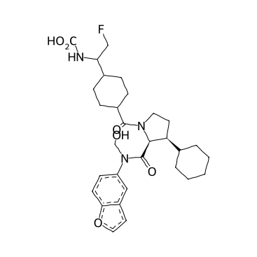 O=C(O)NC(CF)C1CCC(C(=O)N2CC[C@@H](C3CCCCC3)[C@H]2C(=O)N(CO)c2ccc3occc3c2)CC1